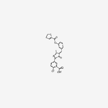 CC1=NN(c2ccc(Cl)c(C(=O)O)c2)C(=O)/C1=C/c1cccc(OC(=O)C2=CCCS2)c1